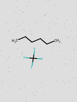 CCCCCC.FC(F)(F)F